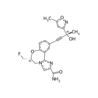 Cc1cc([C@](C)(O)C#Cc2ccc3c(c2)-c2nc(C(N)=O)cn2C[C@H](CF)O3)no1